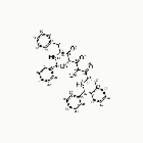 O=C(C(Cl)C(=O)[C@H](Cc1ccccc1)NCc1ccccc1)C(Cl)C(=O)[C@H](Cc1ccccc1)NCc1ccccc1